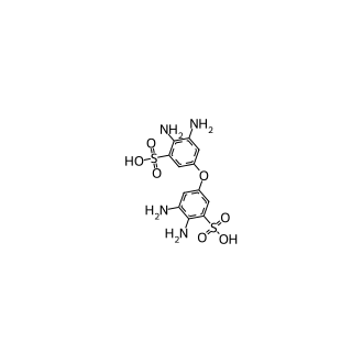 Nc1cc(Oc2cc(N)c(N)c(S(=O)(=O)O)c2)cc(S(=O)(=O)O)c1N